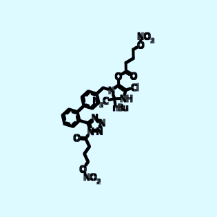 CCCCC1(C)NC(Cl)=C(OC(=O)CCCO[N+](=O)[O-])N1Cc1ccc(-c2ccccc2-c2nnnn2C(=O)CCCO[N+](=O)[O-])cc1